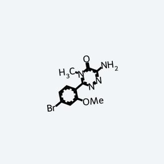 COc1cc(Br)ccc1-c1nnc(N)c(=O)n1C